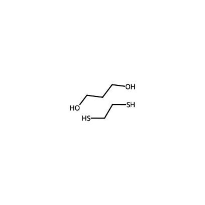 OCCCO.SCCS